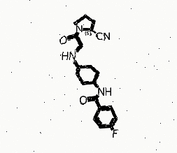 N#C[C@@H]1CCCN1C(=O)CNC1CCC(NC(=O)c2ccc(F)cc2)CC1